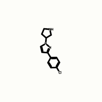 Clc1ccc(-c2ccn(C3CCNC3)n2)cc1